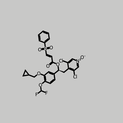 O=C(C=CS(=O)(=O)c1ccccc1)O[C@@H](Cc1c(Cl)c[n+]([O-])cc1Cl)c1ccc(OC(F)F)c(OCC2CC2)c1